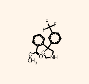 COC(=O)c1ccccc1C1(c2cccc(C(F)(F)F)c2)CNCO1